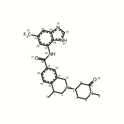 CC1CN([C@@H]2CCN(C)C(=O)C2)Cc2cc(C(=O)Nc3cc(C(F)(F)F)cc4nc[nH]c34)ccc21